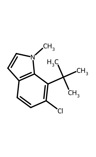 Cn1ccc2ccc(Cl)c(C(C)(C)C)c21